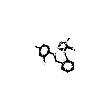 Cc1ccc(OCc2ccccc2-n2nnn(C)c2=O)c(Cl)c1